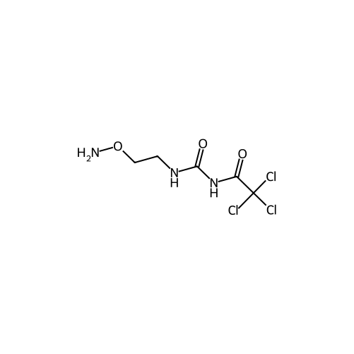 NOCCNC(=O)NC(=O)C(Cl)(Cl)Cl